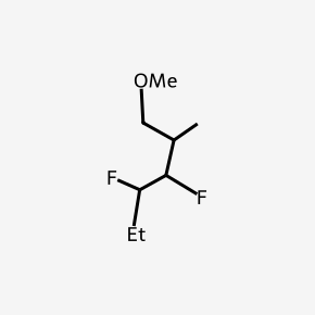 CCC(F)C(F)C(C)COC